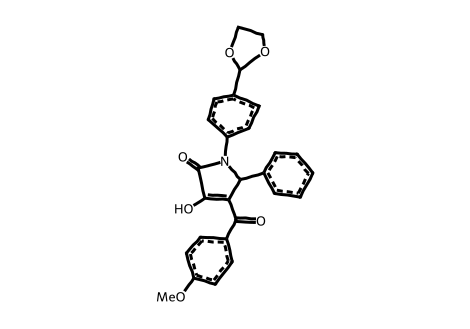 COc1ccc(C(=O)C2=C(O)C(=O)N(c3ccc(C4OCCO4)cc3)C2c2ccccc2)cc1